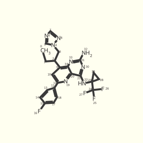 CCC(Cn1cncn1)c1cc(-c2ccc(F)cc2)nc2c(NC3(C(F)(F)F)CC3)nc(N)nc12